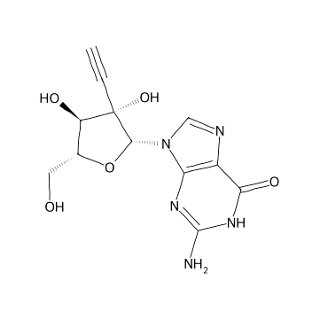 C#C[C@]1(O)[C@H](O)[C@@H](CO)O[C@H]1n1cnc2c(=O)[nH]c(N)nc21